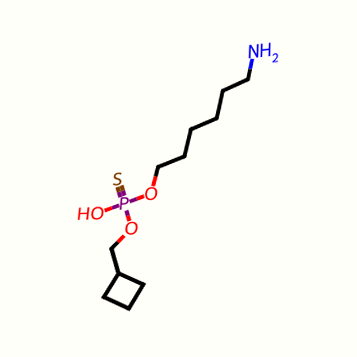 NCCCCCCOP(O)(=S)OCC1CCC1